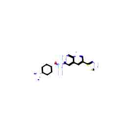 CN(C)[C@H]1CC[C@H](C(=O)Nc2cc3cc(-c4cncs4)cnc3cn2)CC1